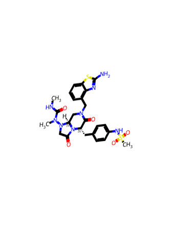 CNC(=O)N(C)N1CC(=O)N2[C@@H](Cc3ccc(NS(C)(=O)=O)cc3)C(=O)N(Cc3cccc4sc(N)nc34)C[C@@H]21